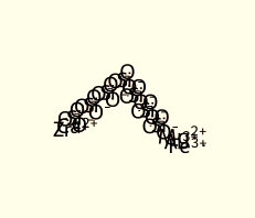 O=[Si]([O-])[O-].O=[Si]([O-])[O-].O=[Si]([O-])[O-].O=[Si]([O-])[O-].O=[Si]([O-])[O-].O=[Si]([O-])[O-].O=[Si]([O-])[O-].[Al+3].[Ca+2].[Fe+3].[Mg+2].[Zr+4]